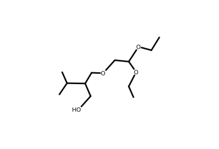 CCOC(COCC(CO)C(C)C)OCC